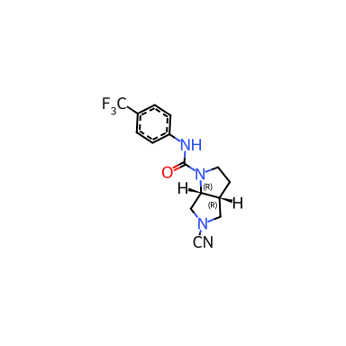 N#CN1C[C@H]2CCN(C(=O)Nc3ccc(C(F)(F)F)cc3)[C@H]2C1